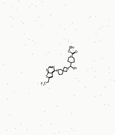 CC(C)C(C1CCN(C(=O)OC(C)(C)C)CC1)N1CC2(CCN(c3ncnc4sc(CC(F)(F)F)cc34)C2)C1